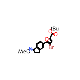 CON=C1CCc2cc(-c3oc(C(=O)OC(C)(C)C)cc3Br)ccc21